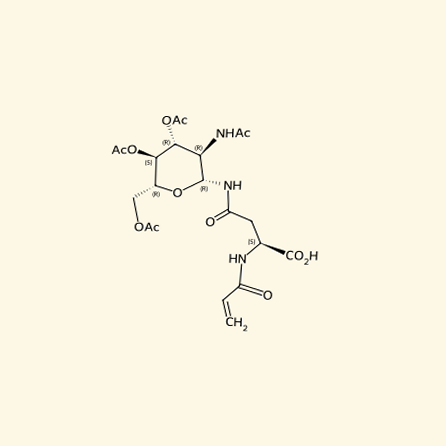 C=CC(=O)N[C@@H](CC(=O)N[C@@H]1O[C@H](COC(C)=O)[C@@H](OC(C)=O)[C@H](OC(C)=O)[C@H]1NC(C)=O)C(=O)O